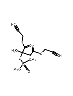 C#CCOC(=O)CC(C)(OP(=O)(OC)OC)C(=O)OCC#C